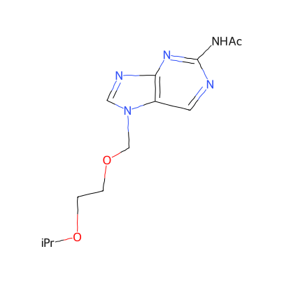 CC(=O)Nc1ncc2c(ncn2COCCOC(C)C)n1